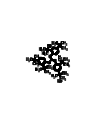 CC(C)(C)c1ccc(OP(Oc2ccc(C(C)(C)C)cc2C(C)(C)C)Oc2ccc(C(C)(C)C)cc2C(C)(C)C)c(C(C)(C)C)c1.[Rh]